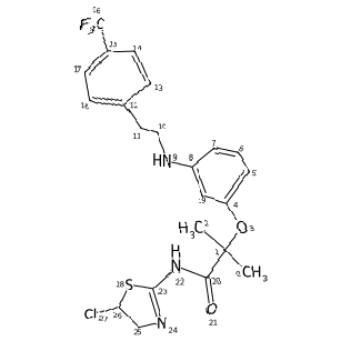 CC(C)(Oc1cccc(NCCc2ccc(C(F)(F)F)cc2)c1)C(=O)NC1=NCC(Cl)S1